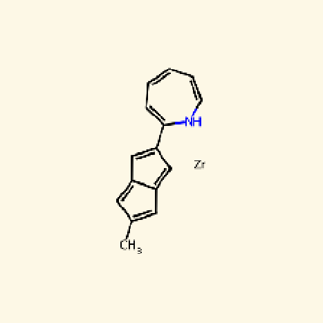 CC1=CC2=CC(C3=CC=CC=CN3)=CC2=C1.[Zr]